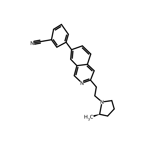 C[C@@H]1CCCN1CCc1cc2ccc(-c3cccc(C#N)c3)cc2cn1